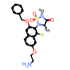 [2H]C1C(=O)N([2H])S(=O)(=O)N1c1c(OCc2ccccc2)cc2ccc(OCCN)cc2c1F